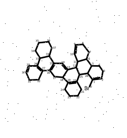 BrC1=CCCC2C3CCC=CC3C3C4=CC5=C(CC4C4=C(CCCC4)C3C12)C1=C(C=CCC1)C1CCCCC51